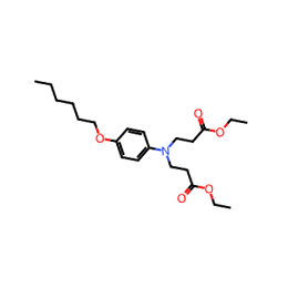 CCCCCCOc1ccc(N(CCC(=O)OCC)CCC(=O)OCC)cc1